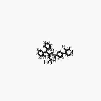 Cc1nccc(-c2ccc(NC(=O)[C@@H](NC(=O)O)C(c3ccccc3)c3ccccc3)cc2)c1C